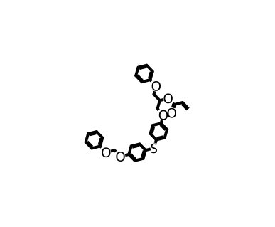 C=CC(=O)OC(COc1ccccc1)COc1ccc(Sc2ccc(OCOc3ccccc3)cc2)cc1